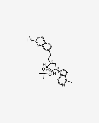 CNc1ccc2ccc(CC[C@H]3C[C@@H](n4ccc5c(C)ncnc54)[C@@H]4OC(C)(C)O[C@H]34)cc2n1